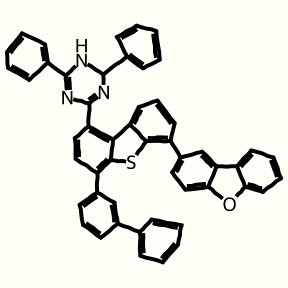 c1ccc(C2=NC(c3ccc(-c4cccc(-c5ccccc5)c4)c4sc5c(-c6ccc7oc8ccccc8c7c6)cccc5c34)=NC(c3ccccc3)N2)cc1